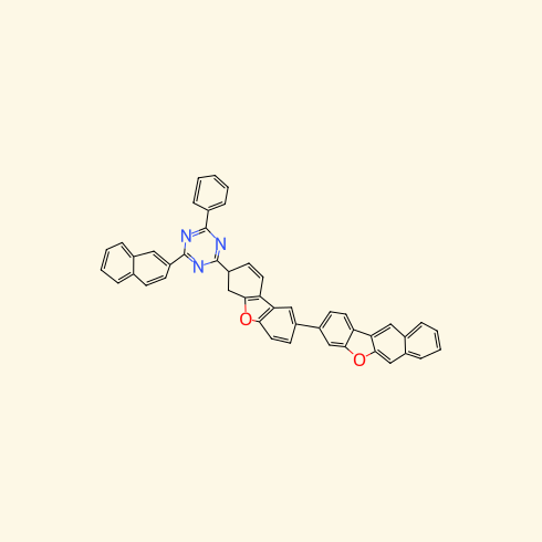 C1=CC(c2nc(-c3ccccc3)nc(-c3ccc4ccccc4c3)n2)Cc2oc3ccc(-c4ccc5c(c4)oc4cc6ccccc6cc45)cc3c21